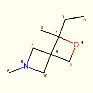 CCC1(C)OCC12CN(C)C2